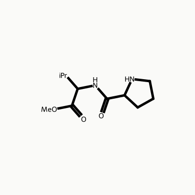 COC(=O)C(NC(=O)C1CCCN1)C(C)C